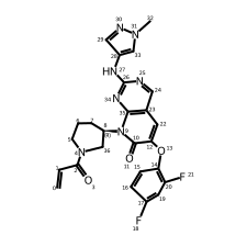 C=CC(=O)N1CCC[C@@H](n2c(=O)c(Oc3ccc(F)cc3F)cc3cnc(Nc4cnn(C)c4)nc32)C1